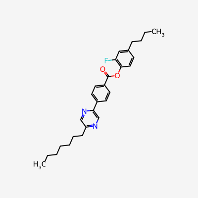 CCCCCCCc1cnc(-c2ccc(C(=O)Oc3ccc(CCCC)cc3F)cc2)cn1